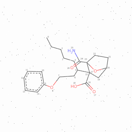 CCCCCC(CCOc1ccccc1)C1(C(=O)O)CC2CCC1(C(N)=O)O2